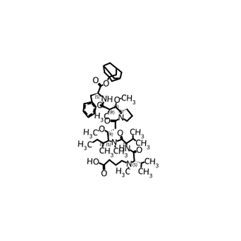 CC[C@H](C)[C@@H]([C@@H](CC(=O)N1CCC[C@H]1[C@H](OC)[C@@H](C)C(=O)N[C@@H](Cc1ccccc1)C(=O)OC12CC3CC(CC(C3)C1)C2)OC)N(C)C(=O)[C@@H](NC(=O)[C@H](C(C)C)N(C)CCCC(=O)O)C(C)C